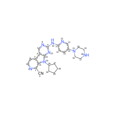 N#Cc1nccc2c3cnc(Nc4ccc(N5CCNCC5)cn4)nc3n(C3CCCC3)c12